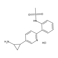 CS(=O)(=O)Nc1ccccc1-c1ccc(C2CC2N)cn1.Cl